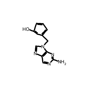 Nc1ncc2ncn(Cc3cccc(O)c3)c2n1